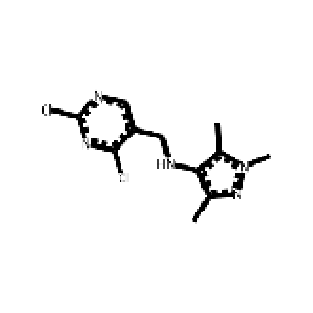 Cc1nn(C)c(C)c1NCc1cnc(Cl)nc1Cl